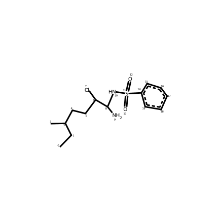 CCC(C)CCC(Cl)C(N)NS(=O)(=O)c1ccccc1